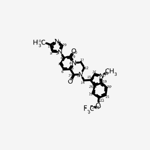 Cc1cn(-c2ccc3n(c2=O)CCN(Cc2cn(C)c4ccc(OC(F)(F)F)cc24)C3=O)cn1